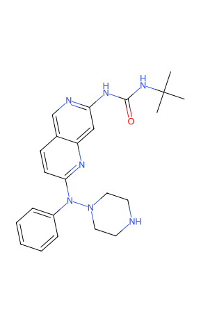 CC(C)(C)NC(=O)Nc1cc2nc(N(c3ccccc3)N3CCNCC3)ccc2cn1